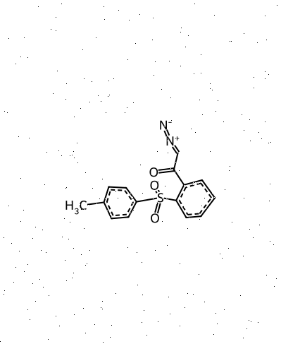 Cc1ccc(S(=O)(=O)c2ccccc2C(=O)C=[N+]=[N-])cc1